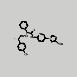 C[C@H](CN[C@@H](C(=O)Nc1ccc(-n2cnc(C(C)(C)C)c2)cn1)c1ccccc1)c1ccc(C#N)cc1